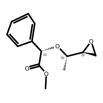 COC(=O)[C@@H](O[C@@H](C)[C@@H]1CO1)c1ccccc1